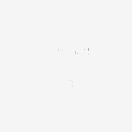 O=C1Nc2cc(F)c(F)c([N+](=O)[O-])c2C(=NO)C1=O